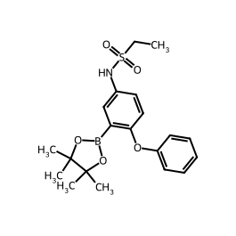 CCS(=O)(=O)Nc1ccc(Oc2ccccc2)c(B2OC(C)(C)C(C)(C)O2)c1